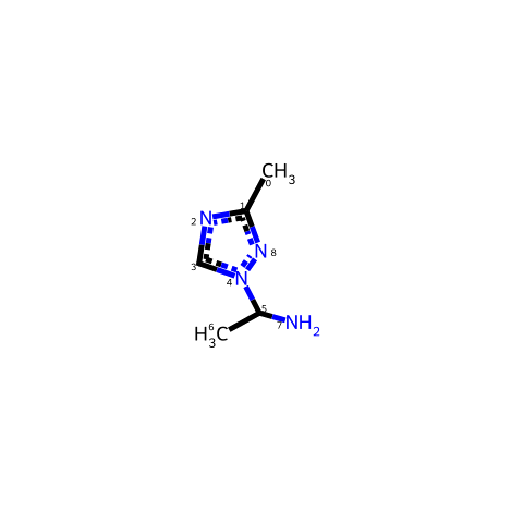 Cc1ncn(C(C)N)n1